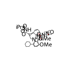 CNC(=O)N1CC23COCC2(C1)CN(C(=O)[C@@H]1CC=CC2=C4C(=C4C(=O)NS(=O)(=O)C(C)C)Cn4c(cc5c(OC)ccc(C6CCCCC6)c54)[C@H]21)C3